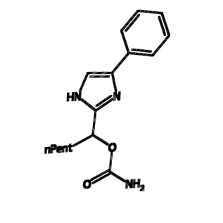 CCCCCC(OC(N)=O)c1nc(-c2ccccc2)c[nH]1